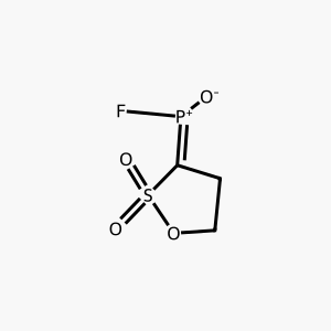 O=S1(=O)OCCC1=[P+]([O-])F